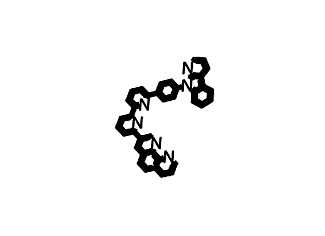 c1cc(-c2ccc(-n3c4ccccc4c4cccnc43)cc2)nc(-c2cccc(-c3cnc4c(ccc5cccnc54)c3)n2)c1